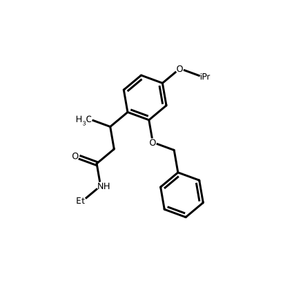 CCNC(=O)CC(C)c1ccc(OC(C)C)cc1OCc1ccccc1